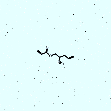 C=CCC(N)COC(=O)C=C